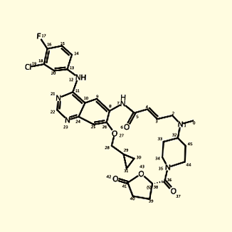 CN(CC=CC(=O)Nc1cc2c(Nc3ccc(F)c(Cl)c3)ncnc2cc1OCC1CC1)C1CCN(C(=O)[C@@H]2CCC(=O)O2)CC1